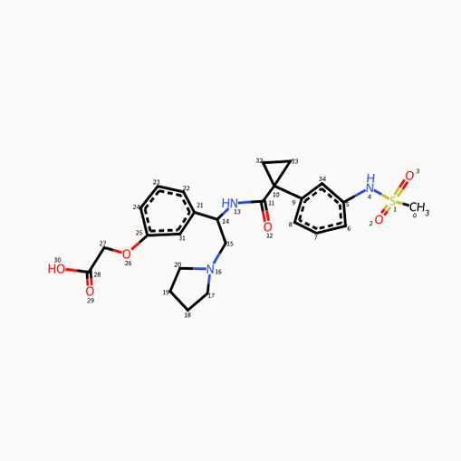 CS(=O)(=O)Nc1cccc(C2(C(=O)NC(CN3CCCC3)c3cccc(OCC(=O)O)c3)CC2)c1